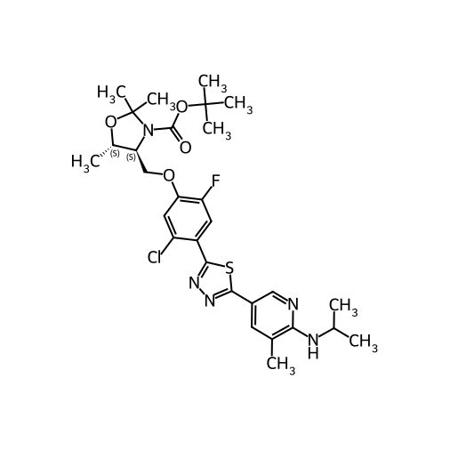 Cc1cc(-c2nnc(-c3cc(F)c(OC[C@H]4[C@H](C)OC(C)(C)N4C(=O)OC(C)(C)C)cc3Cl)s2)cnc1NC(C)C